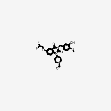 COc1ccc(Cn2c(=O)c3cc(OCC(F)F)ccc3n(C3CCN(C=O)CC3)c2=O)cc1O